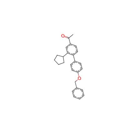 CC(=O)c1ccc(-c2ccc(OCc3ccccc3)cc2)c(C2CCCC2)c1